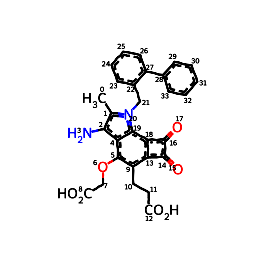 Cc1c(N)c2c(OCC(=O)O)c(CCC(=O)O)c3c(=O)c(=O)c3c2n1Cc1ccccc1-c1ccccc1